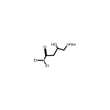 CCCCCCCC(O)CC(=O)N(CC)CC